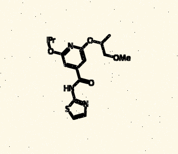 COCC(C)Oc1cc(C(=O)Nc2nccs2)cc(OC(C)C)n1